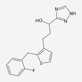 OC(CCc1ccsc1Cc1ccccc1F)c1nc[nH]n1